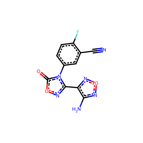 N#Cc1cc(-n2c(-c3nonc3N)noc2=O)ccc1F